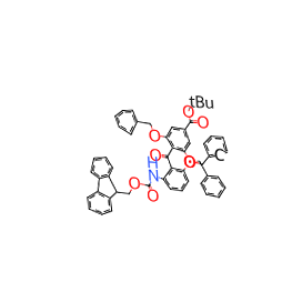 CC(C)(C)OC(=O)c1cc(OCc2ccccc2)c(C(=O)c2c(NC(=O)OCC3c4ccccc4-c4ccccc43)cccc2OCc2ccccc2)c(OCc2ccccc2)c1